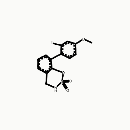 COc1ccc(-c2cccc3c2OS(=O)(=O)NC3)c(F)c1